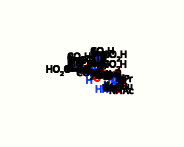 CCC(C)[C@H](NC(=O)[C@H](Cc1c[nH]cn1)NC(C)=O)C(=O)N[C@@H](CC(C)C)C(=O)NCc1ccc(CNC(=O)[C@H](CCNC(=O)CCC(C(=O)O)N2CCN(CC(=O)O)CCN(CC(=O)O)CCN(CC(=O)O)CC2)NC(=O)CCC(C(=O)O)N2CCN(CC(=O)O)CCN(CC(=O)O)CCN(CC(=O)O)CC2)cc1